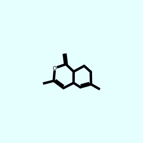 C=C1OC(C)=CC2C=C(C)CCC12